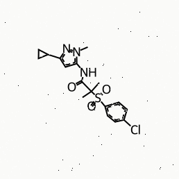 Cn1nc(C2CC2)cc1NC(=O)C(C)(C)S(=O)(=O)c1ccc(Cl)cc1